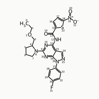 CCOCC1CCCN1c1nc(NC(=O)c2ccc([N+](=O)[O-])s2)c2cnn(-c3ccc(F)cc3)c2n1